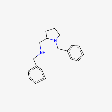 c1ccc(CNCC2CCCN2Cc2ccccc2)cc1